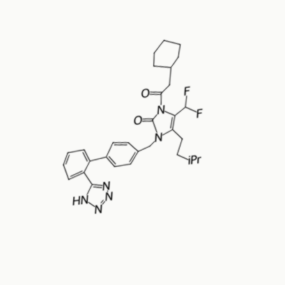 CC(C)CCc1c(C(F)F)n(C(=O)CC2CCCCC2)c(=O)n1Cc1ccc(-c2ccccc2-c2nnn[nH]2)cc1